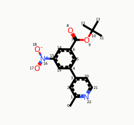 Cc1cc(-c2cc(C(=O)OC(C)(C)C)cc([N+](=O)[O-])c2)ccn1